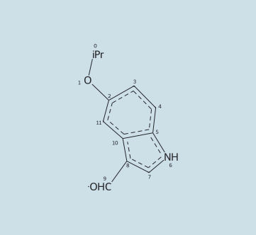 CC(C)Oc1ccc2[nH]cc([C]=O)c2c1